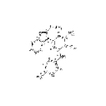 CCc1nc2ccccc2n1C1=NC(Nc2ccc(C)cc2)C(F)C(N)=N1